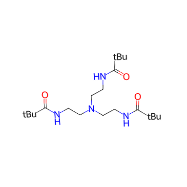 CC(C)(C)C(=O)NCCN(CCNC(=O)C(C)(C)C)CCNC(=O)C(C)(C)C